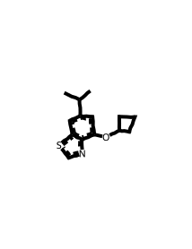 CC(C)c1cc(OC2CCC2)c2ncsc2c1